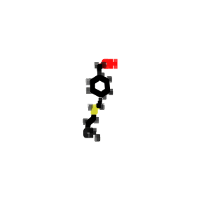 OC[C@H]1CC[C@H](CSCCC(F)(F)F)CC1